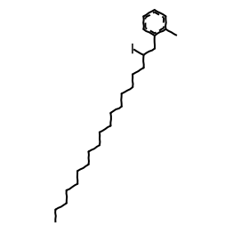 CCCCCCCCCCCCCCCCCC(I)Cc1ccccc1C